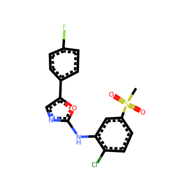 CS(=O)(=O)c1ccc(Cl)c(Nc2ncc(-c3ccc(F)cc3)o2)c1